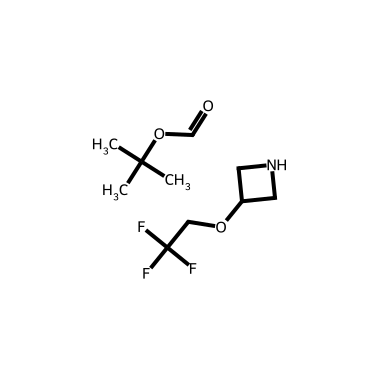 CC(C)(C)OC=O.FC(F)(F)COC1CNC1